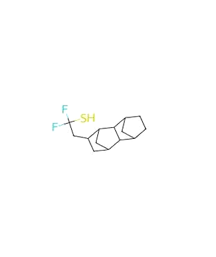 FC(F)(S)CC1CC2CC1C1C3CCC(C3)C21